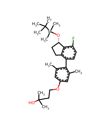 Cc1cc(OCCC(C)(C)O)cc(C)c1-c1ccc(F)c2c1CC[C@@H]2O[Si](C)(C)C(C)(C)C